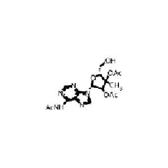 CC(=O)Nc1ncnc2c1ncn2[C@@H]1O[C@H](CO)C(C)(OC(C)=O)C1OC(C)=O